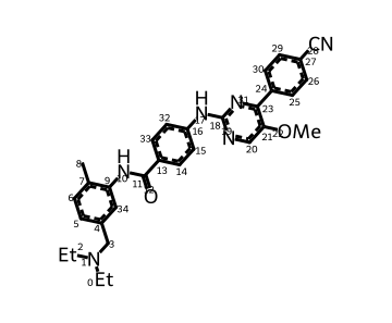 CCN(CC)Cc1ccc(C)c(NC(=O)c2ccc(Nc3ncc(OC)c(-c4ccc(C#N)cc4)n3)cc2)c1